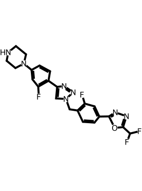 Fc1cc(-c2nnc(C(F)F)o2)ccc1Cn1cc(-c2ccc(N3CCNCC3)cc2F)nn1